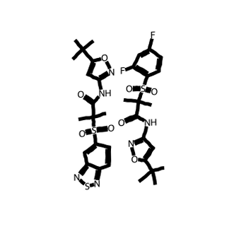 CC(C)(C)c1cc(NC(=O)C(C)(C)S(=O)(=O)c2ccc(F)cc2F)no1.CC(C)(C)c1cc(NC(=O)C(C)(C)S(=O)(=O)c2ccc3nsnc3c2)no1